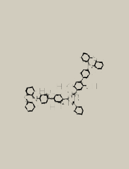 Cc1cc(-c2nc(-c3ccccc3)nc(-c3cc(C)c(-c4ccc(N5c6ccccc6Sc6ccccc65)cc4)cc3C)n2)c(C)cc1-c1ccc(N2c3ccccc3Sc3ccccc32)cc1